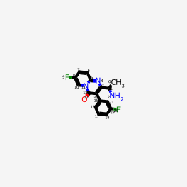 CC(N)c1nc2ccc(F)cn2c(=O)c1-c1cccc(F)c1